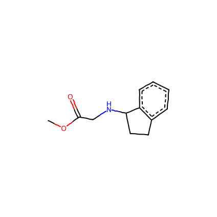 COC(=O)CNC1CCc2ccccc21